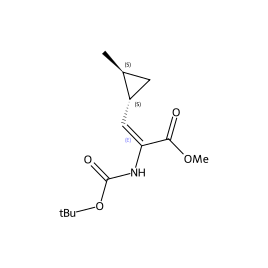 COC(=O)/C(=C\[C@H]1C[C@@H]1C)NC(=O)OC(C)(C)C